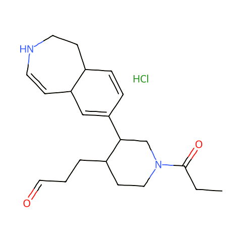 CCC(=O)N1CCC(CCC=O)C(C2=CC3C=CNCCC3C=C2)C1.Cl